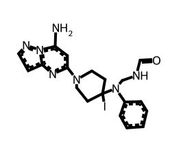 Nc1cc(N2CCC(I)(N(CNC=O)c3ccccc3)CC2)nc2ccnn12